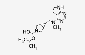 CC(C)OC(O)N1CC2C(CN(C)c3ncnc4c3CCN4)C2C1